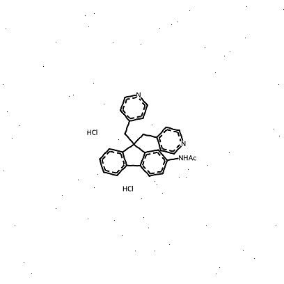 CC(=O)Nc1ccc2c(c1)C(Cc1ccncc1)(Cc1ccncc1)c1ccccc1-2.Cl.Cl